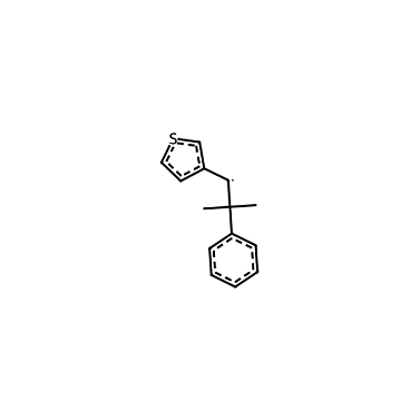 CC(C)([CH]c1ccsc1)c1ccccc1